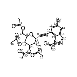 CC(=O)OC[C@H]1O[C@H](C#Cc2cc(Br)cc3cnn(C(C)=O)c23)[C@@H](OC(C)=O)[C@@H](OC(C)=O)[C@@H]1OC(C)=O